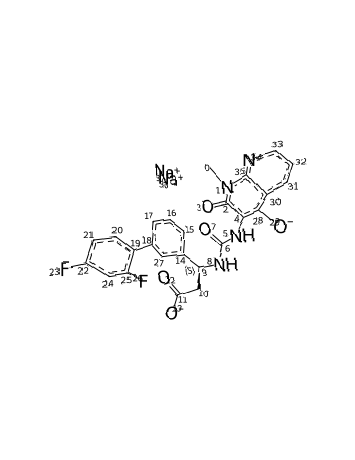 Cn1c(=O)c(NC(=O)N[C@@H](CC(=O)[O-])c2cccc(-c3ccc(F)cc3F)c2)c([O-])c2cccnc21.[Na+].[Na+]